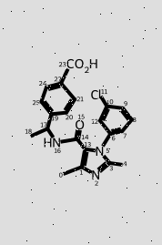 Cc1nc(C)n(-c2cccc(Cl)c2)c1C(=O)NC(C)c1ccc(C(=O)O)cc1